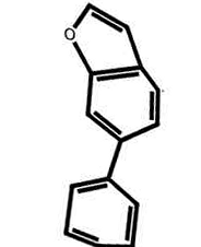 [c]1cc(-c2ccccc2)cc2occc12